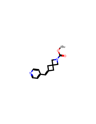 CC(C)(C)OC(=O)N1CC2(CC(=Cc3ccncc3)C2)C1